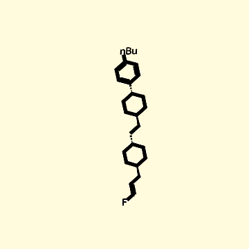 CCCCc1ccc([C@H]2CC[C@H](CC[C@H]3CC[C@H](CC=CF)CC3)CC2)cc1